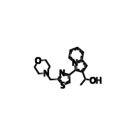 CC(O)c1cc2ccccn2c1-c1csc(CN2CCOCC2)n1